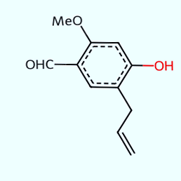 C=CCc1cc(C=O)c(OC)cc1O